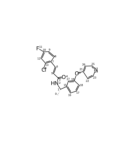 C[C@H](NC(=O)/C=C/c1ccc(F)cc1Cl)c1cccc(Oc2ccncc2)c1